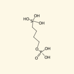 O=P(O)(O)OCCCC[Si](O)(O)O